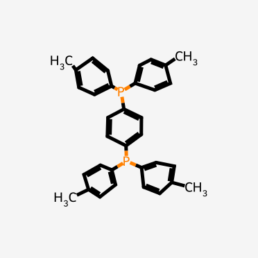 Cc1ccc(P(c2ccc(C)cc2)c2ccc(P(c3ccc(C)cc3)c3ccc(C)cc3)cc2)cc1